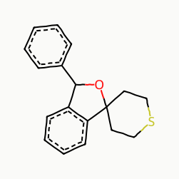 c1ccc(C2OC3(CCSCC3)c3ccccc32)cc1